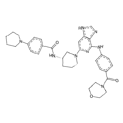 O=C(N[C@H]1CCCN(c2cc3[nH]cnc3c(Nc3ccc(C(=O)N4CCOCC4)cc3)n2)C1)c1ccc(N2CCCCC2)cc1